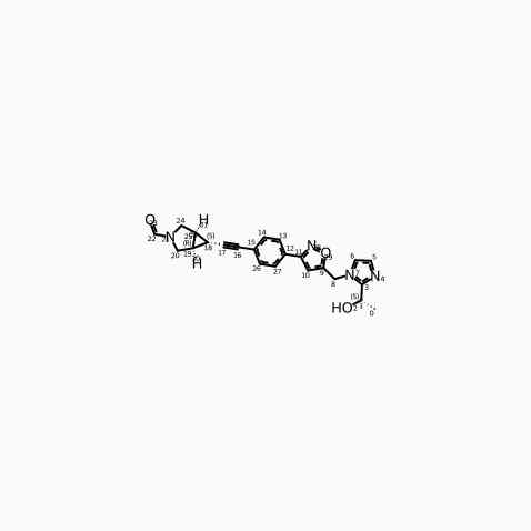 C[C@H](O)c1nccn1Cc1cc(-c2ccc(C#C[C@@H]3[C@H]4CN(C=O)C[C@@H]34)cc2)no1